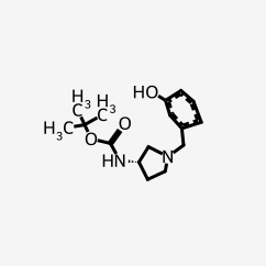 CC(C)(C)OC(=O)N[C@H]1CCN(Cc2cccc(O)c2)C1